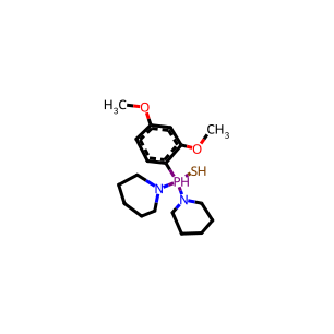 COc1ccc([PH](S)(N2CCCCC2)N2CCCCC2)c(OC)c1